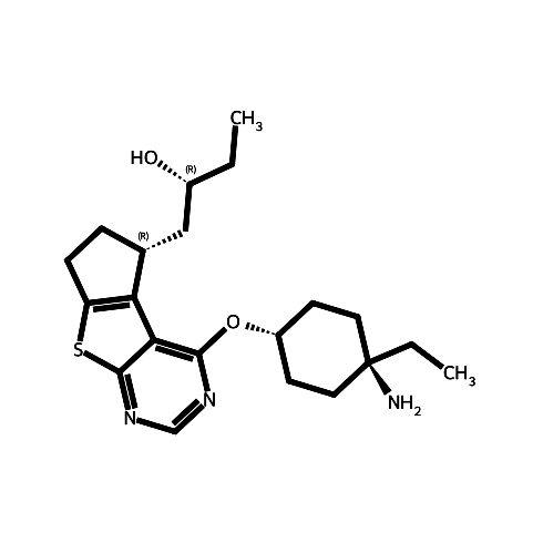 CC[C@@H](O)C[C@H]1CCc2sc3ncnc(O[C@H]4CC[C@@](N)(CC)CC4)c3c21